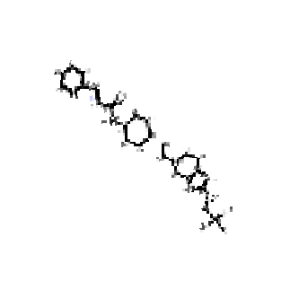 CC(F)(F)COc1nc2c(s1)CCN(CC[C@H]1CC[C@H](NC(=O)/C=C/c3ccccn3)CC1)C2